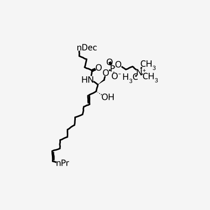 CCC/C=C\CCCCCCCC/C=C/[C@@H](O)[C@H](COP(=O)([O-])OCC[N+](C)(C)C)NC(=O)CCCCCCCCCCCCC